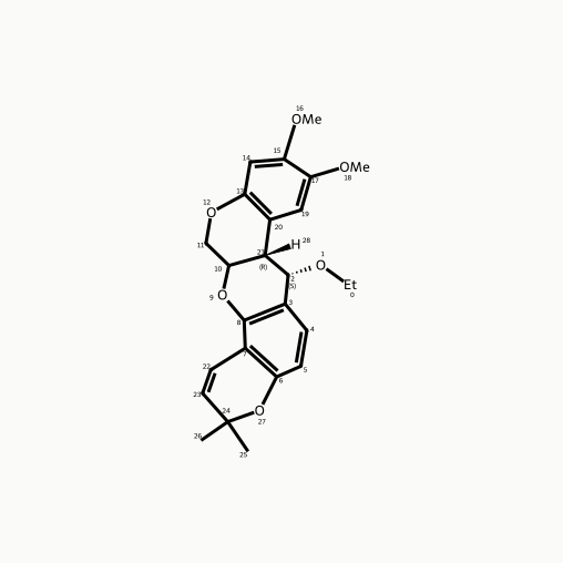 CCO[C@@H]1c2ccc3c(c2OC2COc4cc(OC)c(OC)cc4[C@@H]21)C=CC(C)(C)O3